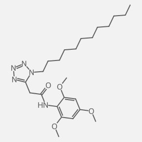 CCCCCCCCCCCCn1nnnc1CC(=O)Nc1c(OC)cc(OC)cc1OC